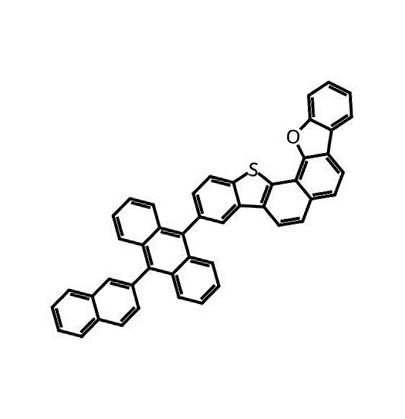 c1ccc2cc(-c3c4ccccc4c(-c4ccc5sc6c(ccc7ccc8c9ccccc9oc8c76)c5c4)c4ccccc34)ccc2c1